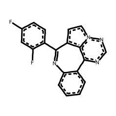 Fc1ccc(C2=Nc3ccccc3-c3ncnn4ccc2c34)c(F)c1